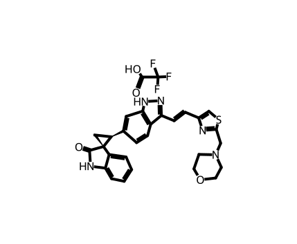 O=C(O)C(F)(F)F.O=C1Nc2ccccc2[C@]12C[C@H]2c1ccc2c(/C=C/c3csc(CN4CCOCC4)n3)n[nH]c2c1